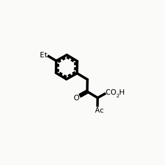 CCc1ccc(CC(=O)C(C(C)=O)C(=O)O)cc1